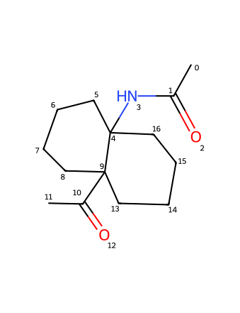 CC(=O)NC12CCCCC1(C(C)=O)CCCC2